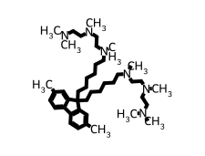 Cc1ccc2c(c1)C(CCCCCCN(C)CCN(C)CCN(C)C)(CCCCCCN(C)CCN(C)CCN(C)C)c1cc(C)ccc1-2